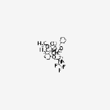 COC(=O)C(OC(=O)C(OC)c1ccccc1)C(C)(C)c1ccccc1OCc1ccnn1C(F)C(F)F